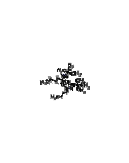 CCCC/C(C)=N/NC(C)(C)C.CCCCC(C)(Cl)/N=N/C(C)(C)C